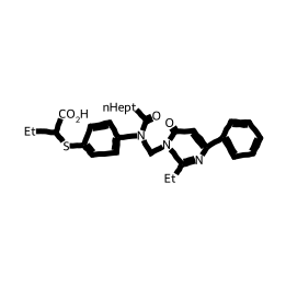 CCCCCCCC(=O)N(Cn1c(CC)nc(-c2ccccc2)cc1=O)c1ccc(SC(CC)C(=O)O)cc1